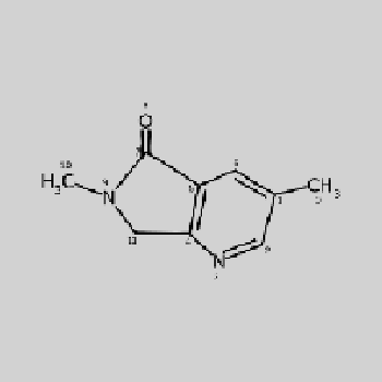 Cc1cnc2c(c1)C(=O)N(C)C2